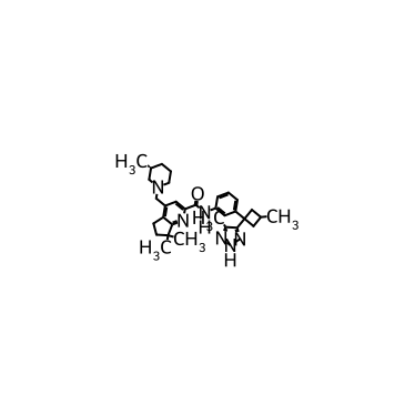 Cc1n[nH]nc1C1(c2cccc(NC(=O)c3cc(CN4CCC[C@H](C)C4)c4c(n3)C(C)(C)CC4)c2)CC(C)C1